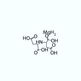 O=C(O)CC(NC(CC(=O)O)C(=O)O)C(=O)O.[MgH2]